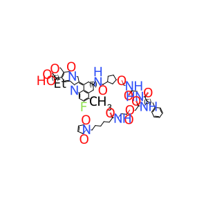 CC[C@@]1(O)C(=O)OCc2c1cc1n(c2=O)Cc2c-1nc1cc(F)c(C)c3c1c2C[C@@H](NC(=O)C1CCC(OCNC(=O)CNC(=O)[C@H](Cc2ccccc2)NC(=O)COC(=O)CNC(=O)CCCCCN2C(=O)C=CC2=O)C1)C3